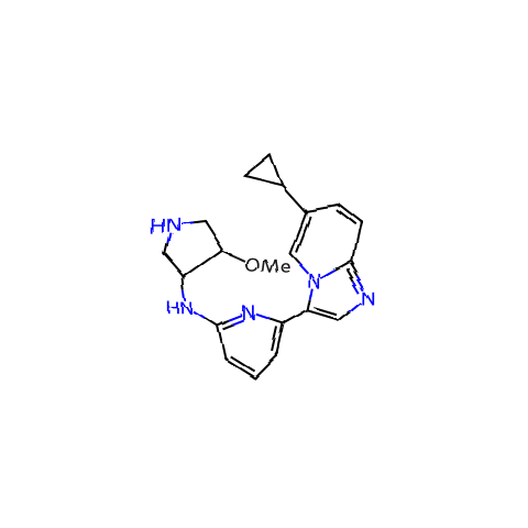 COC1CNCC1Nc1cccc(-c2cnc3ccc(C4CC4)cn23)n1